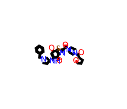 O=C1C(NC2CCN(Cc3ccccc3)C2)=CC(=O)c2sc(C(=O)N3CCN(C(=O)C4CCCO4)CC3)nc21